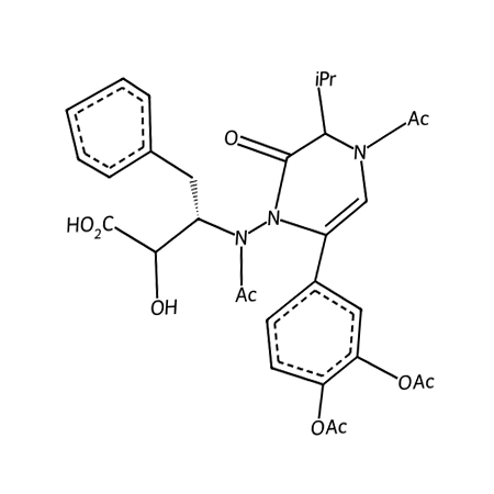 CC(=O)Oc1ccc(C2=CN(C(C)=O)C(C(C)C)C(=O)N2N(C(C)=O)[C@@H](Cc2ccccc2)C(O)C(=O)O)cc1OC(C)=O